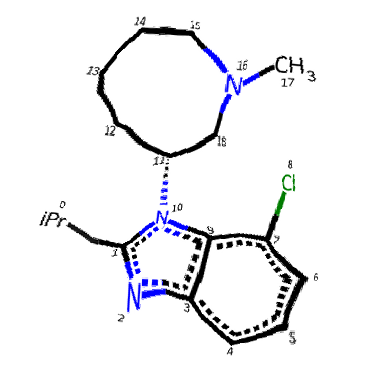 CC(C)c1nc2cccc(Cl)c2n1[C@@H]1CCCCN(C)C1